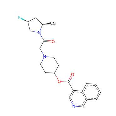 N#C[C@@H]1C[C@H](F)CN1C(=O)CN1CCC(OC(=O)c2cncc3ccccc23)CC1